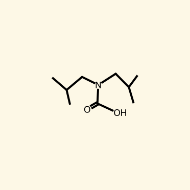 CC(C)CN(CC(C)C)C(=O)O